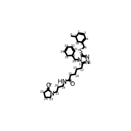 CC1C=CC=C(CSc2nnc(CCCCC(=O)NCCCN3CCCC3=O)n2CC2C=CC=CC2)C1